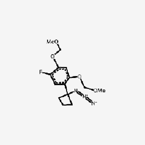 COCOc1cc(OCOC)c(C2(N=[N+]=[N-])CCC2)cc1F